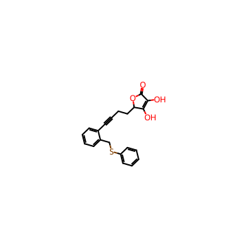 O=C1OC(CCC#Cc2ccccc2CSc2ccccc2)C(O)=C1O